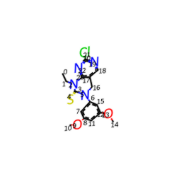 CCN1C(=S)N(c2cc(OC)cc(OC)c2)Cc2cnc(Cl)nc21